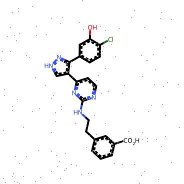 O=C(O)c1cccc(CCNc2nccc(-c3c[nH]nc3-c3ccc(Cl)c(O)c3)n2)c1